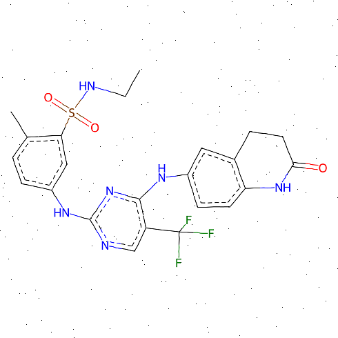 CCNS(=O)(=O)c1cc(Nc2ncc(C(F)(F)F)c(Nc3ccc4c(c3)CCC(=O)N4)n2)ccc1C